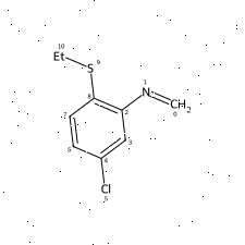 C=Nc1cc(Cl)ccc1SCC